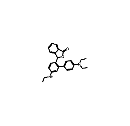 CCNc1ccc(C2OC(=O)c3ccccc32)c(-c2ccc(N(CC)CC)cc2)c1